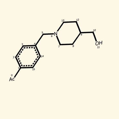 CC(=O)c1ccc(CN2CCC(CO)CC2)cc1